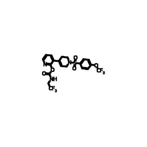 O=C(NCC(F)(F)F)Oc1ncccc1C1=CCN(S(=O)(=O)c2ccc(OC(F)(F)F)cc2)CC1